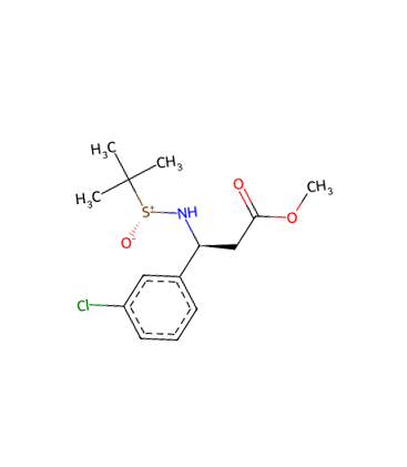 COC(=O)C[C@H](N[S@+]([O-])C(C)(C)C)c1cccc(Cl)c1